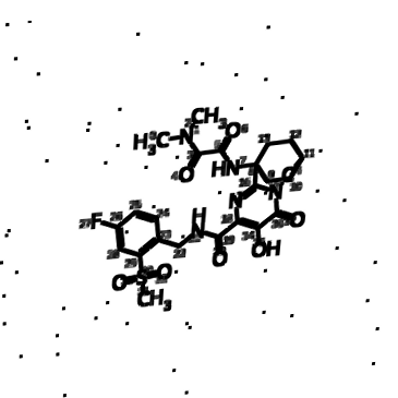 CN(C)C(=O)C(=O)NC12CCC(CC1)Cn1c2nc(C(=O)NCc2ccc(F)cc2S(C)(=O)=O)c(O)c1=O